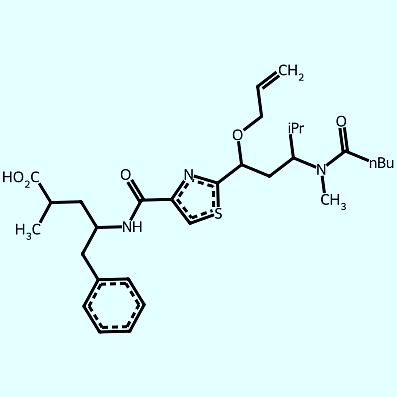 C=CCOC(CC(C(C)C)N(C)C(=O)CCCC)c1nc(C(=O)NC(Cc2ccccc2)CC(C)C(=O)O)cs1